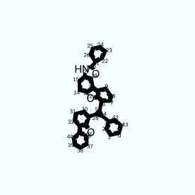 c1ccc(C2=C(c3cccc4c3oc3ccc5c(c34)OC(c3ccccc3)N5)C2c2cccc3c2oc2ccccc23)cc1